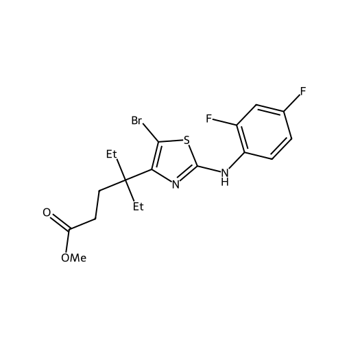 CCC(CC)(CCC(=O)OC)c1nc(Nc2ccc(F)cc2F)sc1Br